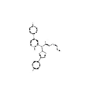 C=C/C=C\C=C(/C)C(c1cc(-c2ccc(O)cc2)ccc1O)C1C=CC(c2ccc(O)cc2)=C1